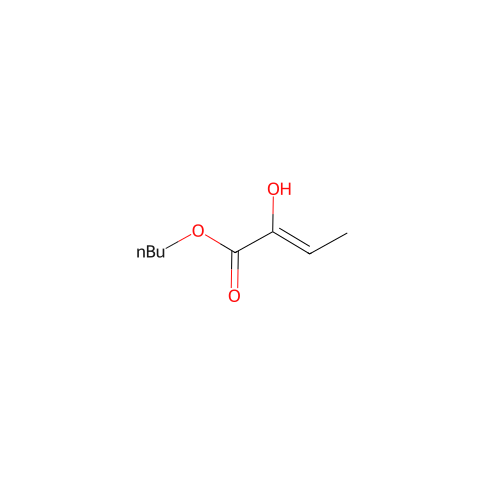 CC=C(O)C(=O)OCCCC